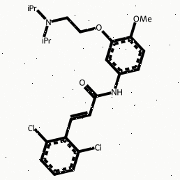 COc1ccc(NC(=O)C=Cc2c(Cl)cccc2Cl)cc1OCCN(C(C)C)C(C)C